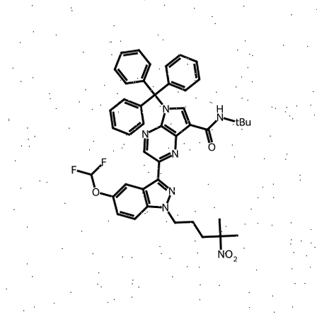 CC(C)(C)NC(=O)c1cn(C(c2ccccc2)(c2ccccc2)c2ccccc2)c2ncc(-c3nn(CCCC(C)(C)[N+](=O)[O-])c4ccc(OC(F)F)cc34)nc12